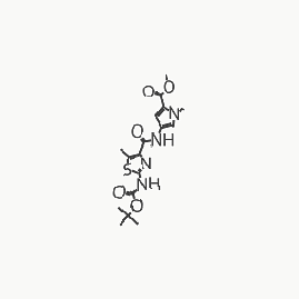 COC(=O)c1cc(NC(=O)c2nc(NC(=O)OC(C)(C)C)sc2C)cn1C